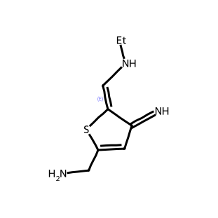 CCN/C=C1/SC(CN)=CC1=N